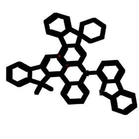 CC1(C)c2ccccc2-c2cccc(-c3ccccc3N(c3ccc4c(c3)C3(CCCCC3)c3ccccc3-4)c3cccc4c3sc3ccccc34)c21